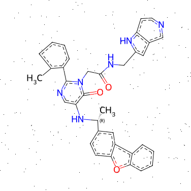 Cc1ccccc1-c1ncc(N[C@H](C)c2ccc3oc4ccccc4c3c2)c(=O)n1CC(=O)NCc1cc2cnccc2[nH]1